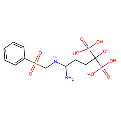 NC(CCC(O)(P(=O)(O)O)P(=O)(O)O)NCS(=O)(=O)c1ccccc1